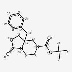 CC(C)(C)OC(=O)N1CCN2C(=O)OCC2(Cc2ccccc2)C1